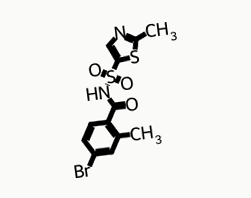 Cc1ncc(S(=O)(=O)NC(=O)c2ccc(Br)cc2C)s1